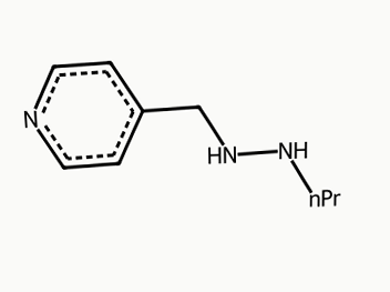 CCCNNCc1ccncc1